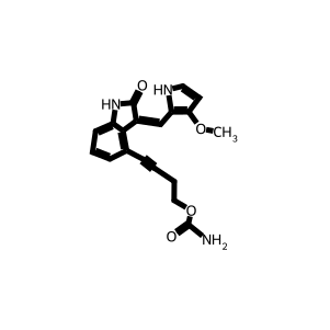 COc1cc[nH]c1C=C1C(=O)Nc2cccc(C#CCCOC(N)=O)c21